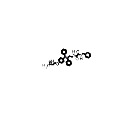 CN(C)CCOc1ccc(/C(=C(/CCNC(=O)C(=O)NCC2C=CC=CC2)c2ccccc2)c2ccccc2)cc1